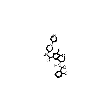 CN(C(=O)c1cc(F)c2c(c1)[C@H](NC(=O)c1ccccc1Cl)CCO2)C1CCN(c2ccncc2)CC1